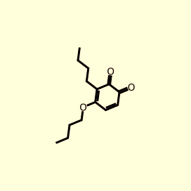 CCCCOC1=C(CCCC)C(=O)C(=O)C=C1